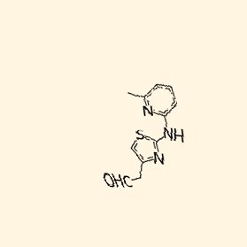 Cc1cccc(Nc2nc(CC=O)cs2)n1